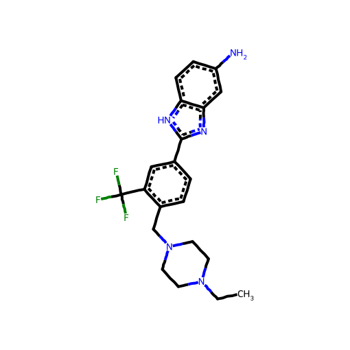 CCN1CCN(Cc2ccc(-c3nc4cc(N)ccc4[nH]3)cc2C(F)(F)F)CC1